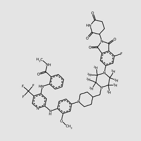 [2H]C1([2H])N(CC2CCN(c3ccc(Nc4cc(Nc5ccccc5C(=O)NC)c(C(F)(F)F)cn4)c(OC)c3)CC2)C([2H])([2H])C([2H])([2H])N(c2cc(F)c3c(c2)C(=O)N(C2CCC(=O)NC2=O)C3=O)C1([2H])[2H]